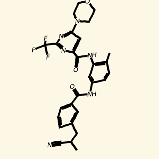 Cc1ccc(NC(=O)c2cccc(CC(C)C#N)c2)cc1NC(=O)c1cc(N2CCOCC2)nc(C(F)(F)F)n1